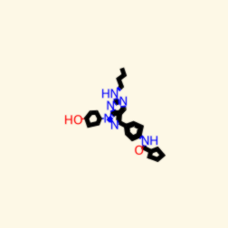 CCCCNc1ncc2c(-c3ccc(NC(=O)C4CCCC4)cc3)nn([C@H]3CC[C@@H](O)CC3)c2n1